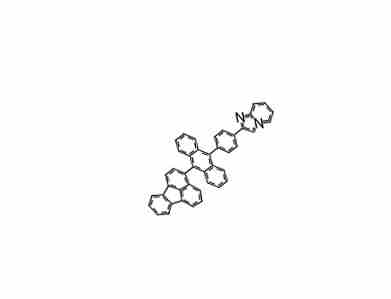 c1ccc2c(c1)-c1cccc3c(-c4c5ccccc5c(-c5ccc(-c6cn7ccccc7n6)cc5)c5ccccc45)ccc-2c13